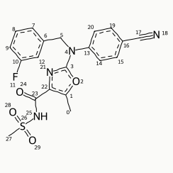 Cc1oc(N(Cc2cccc(F)c2)c2ccc(C#N)cc2)nc1C(=O)NS(C)(=O)=O